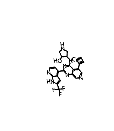 CN(c1nc(-c2ccnc3[nH]c(C(F)(F)F)cc23)nc2cncc(C3=CC=C3)c12)C1CNCC1O